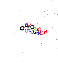 Cc1onc(-c2ccccc2)c1C(=O)N1CCc2cc(C(=O)NO)sc2C1